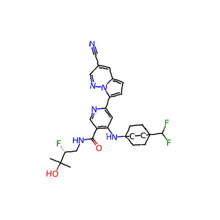 CC(C)(O)[C@H](F)CNC(=O)c1cnc(-c2ccc3cc(C#N)cnn23)cc1NC12CCC(C(F)F)(CC1)CC2